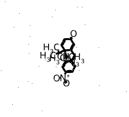 CC(C)(C)C1(C(C)(C)C)C=CC(=O)C=C1Cc1ccc([N+](=O)[O-])cc1